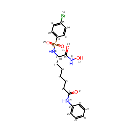 O=C(CCCCC[C@H](NS(=O)(=O)c1ccc(Br)cc1)C(=O)NO)Nc1ccccc1